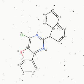 Clc1nc(C2C=CC=C3C=CC=CC32)nc2c1oc1ccccc12